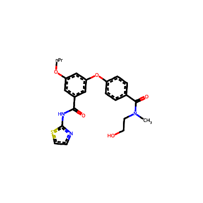 CCCOc1cc(Oc2ccc(C(=O)N(C)CCO)cc2)cc(C(=O)Nc2nccs2)c1